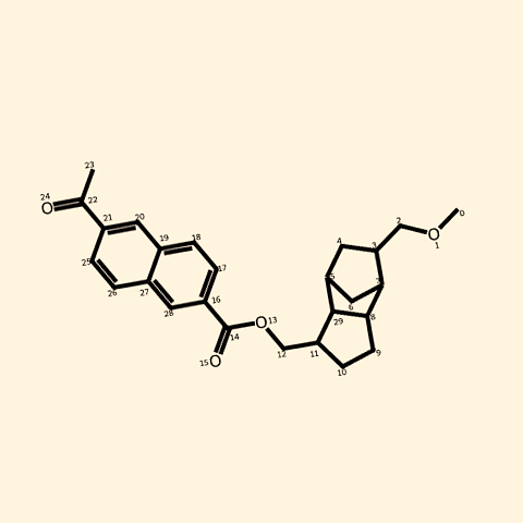 COCC1CC2CC1C1CCC(COC(=O)c3ccc4cc(C(C)=O)ccc4c3)C21